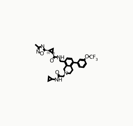 Cc1noc([C@H]2C[C@H]2C(=O)NCc2ccc(-c3cccc(OC(F)(F)F)c3)c3c2CN(CC(=O)NC2CC2)CC3)n1